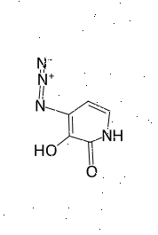 [N-]=[N+]=Nc1cc[nH]c(=O)c1O